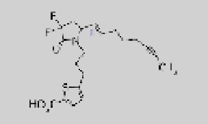 CC#CCCC/C=C/C1CC(F)(F)C(=O)N1CCCc1ccc(C(=O)O)s1